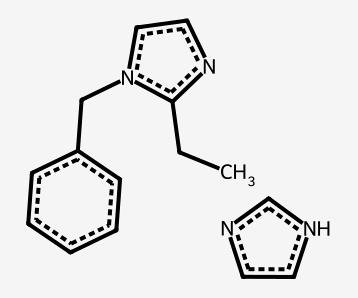 CCc1nccn1Cc1ccccc1.c1c[nH]cn1